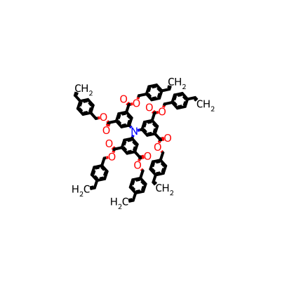 C=Cc1ccc(COC(=O)c2cc(C(=O)OCc3ccc(C=C)cc3)cc(N(c3cc(C(=O)OCc4ccc(C=C)cc4)cc(C(=O)OCc4ccc(C=C)cc4)c3)c3cc(C(=O)OCc4ccc(C=C)cc4)cc(C(=O)OCc4ccc(C=C)cc4)c3)c2)cc1